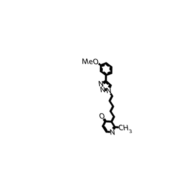 COc1cccc(-c2cn(CCCCCC3C(=O)C=CN=C3C)nn2)c1